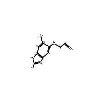 Cc1nc2cc(OCC=O)c(Br)cc2s1